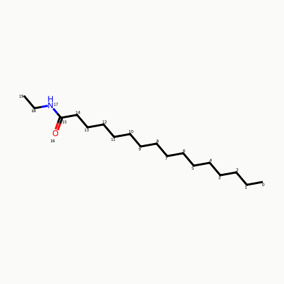 CCCCCCCCCCCCCCCC(=O)NCC